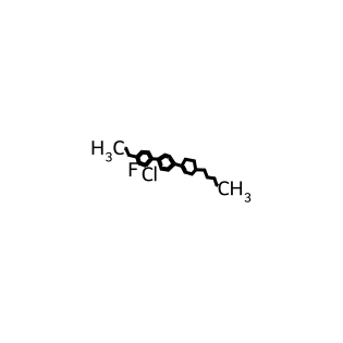 CCCCCC1CC=C(c2ccc(-c3ccc(CCC)c(F)c3Cl)cc2)CC1